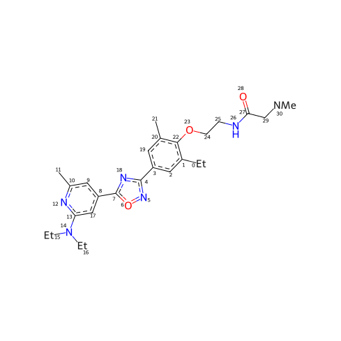 CCc1cc(-c2noc(-c3cc(C)nc(N(CC)CC)c3)n2)cc(C)c1OCCNC(=O)CNC